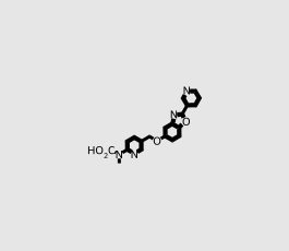 CN(C(=O)O)c1ccc(COc2ccc3oc(-c4cccnc4)nc3c2)cn1